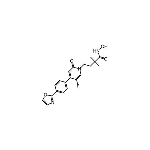 CC(C)(CCn1cc(F)c(-c2ccc(-c3ncco3)cc2)cc1=O)C(=O)NO